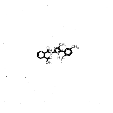 Cc1ccc(C)c(-c2nc(NC(=O)C3CC=CCC3C(=O)O)sc2C)c1